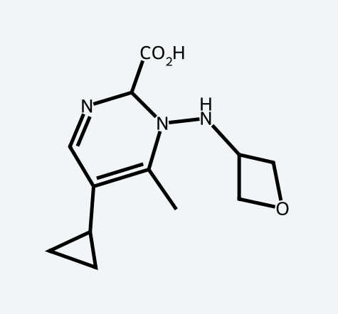 CC1=C(C2CC2)C=NC(C(=O)O)N1NC1COC1